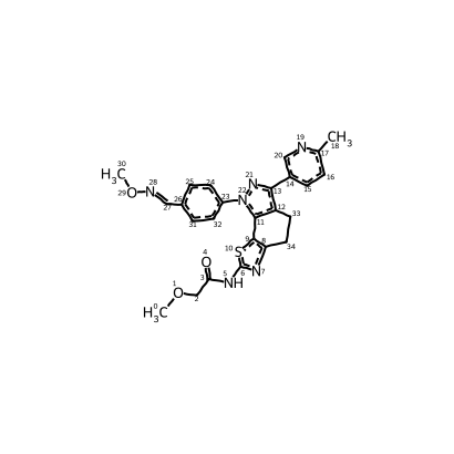 COCC(=O)Nc1nc2c(s1)-c1c(c(-c3ccc(C)nc3)nn1-c1ccc(/C=N/OC)cc1)CC2